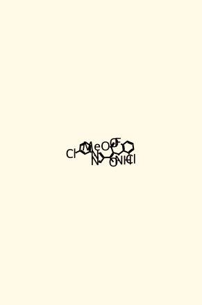 COC(=O)C1=C(c2cnn(-c3cccc(Cl)c3)c2)ONC1c1c(F)cccc1Cl